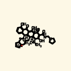 CCC(=O)C[C@H]1[C@H]2C(=C(O)[C@]3(O)C(=O)C(C(=O)NCN4CCCC4)=C(O)[C@@H](N(C)C)[C@H]13)C(=O)c1c(O)cccc1[C@@H]2CSC1CCCC1